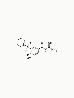 Cl.N=C(N)NC(=O)c1ccc(Cl)c(S(=O)(=O)N2CCCCC2)c1